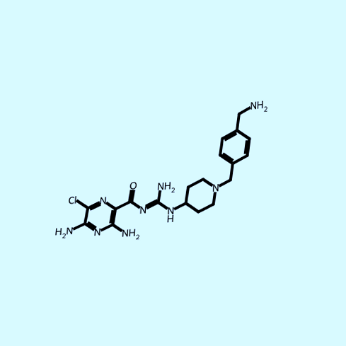 NCc1ccc(CN2CCC(N/C(N)=N/C(=O)c3nc(Cl)c(N)nc3N)CC2)cc1